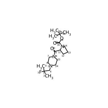 CC(C)(F)CN1CCN(C(=O)C2CCCN2C(=O)OC(C)(C)C)CC1